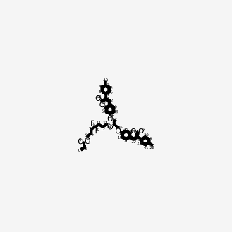 C=CC(=O)OCCCC(F)(F)CCCOC(COc1ccc2cc(-c3ccc(C)cc3)c(=O)oc2c1)COc1ccc2cc(-c3ccc(C)cc3)c(=O)oc2c1